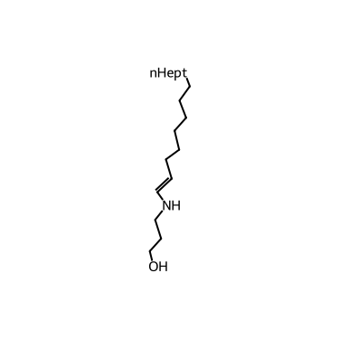 CCCCCCCCCCCCCC=CNCCCO